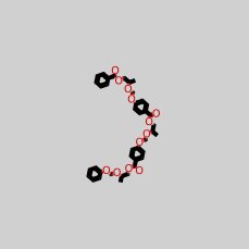 CC(COC(=O)c1ccccc1)OCOc1ccc(C(=O)OCC(C)OCOc2ccc(C(=O)OCC(C)OCOc3ccccc3)cc2)cc1